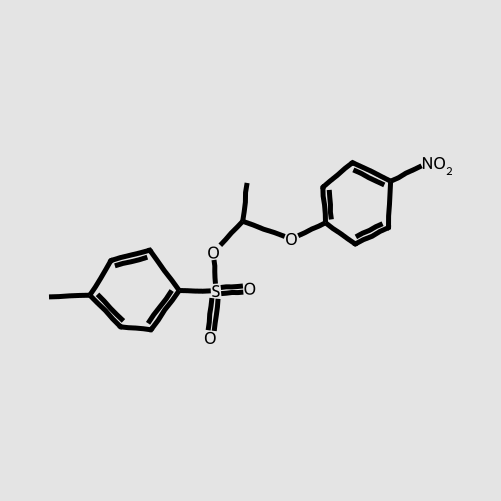 Cc1ccc(S(=O)(=O)OC(C)Oc2ccc([N+](=O)[O-])cc2)cc1